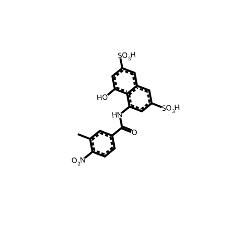 Cc1cc(C(=O)Nc2cc(S(=O)(=O)O)cc3cc(S(=O)(=O)O)cc(O)c23)ccc1[N+](=O)[O-]